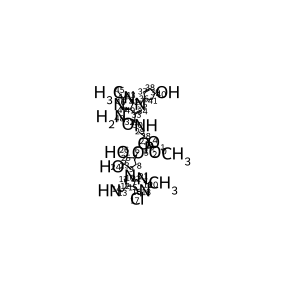 CCOP(=O)(CO[C@H]1C[C@@H](n2cc(C=N)c3c(Cl)nc(C)nc32)[C@H](O)[C@@H]1O)OCCNC(=O)c1cn([C@H]2C=C[C@@H](O)C2)c2nc(C)nc(N)c12